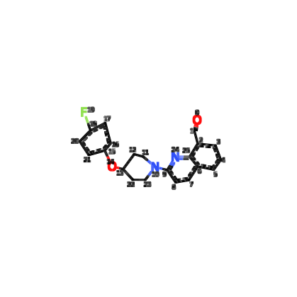 O=Cc1cccc2ccc(N3CCC(Oc4ccc(F)cc4)CC3)nc12